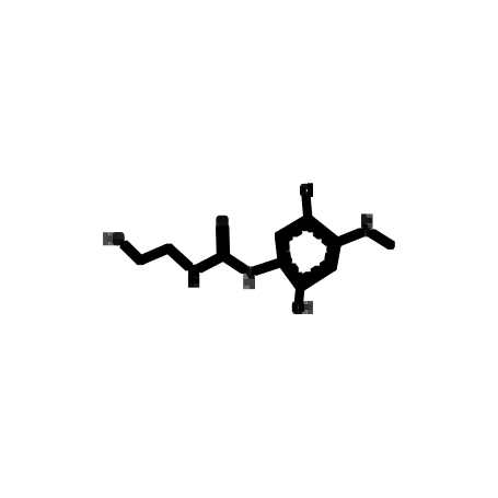 CNc1cc(O)c(NC(=O)NCCO)cc1Cl